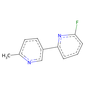 Cc1ccc(-c2cccc(F)n2)cn1